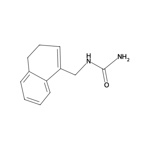 NC(=O)NCC1=CCCc2ccccc21